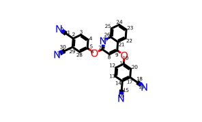 N#Cc1ccc(Oc2cc(Oc3ccc(C#N)c(C#N)c3)c3ccccc3n2)cc1C#N